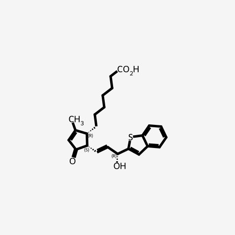 CC1=CC(=O)[C@@H](C=C[C@@H](O)c2cc3ccccc3s2)[C@H]1CCCCCCC(=O)O